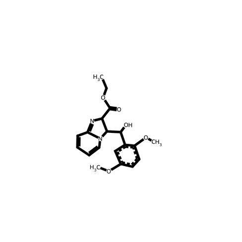 CCOC(=O)C1N=C2C=CC=CN2C1C(O)c1cc(OC)ccc1OC